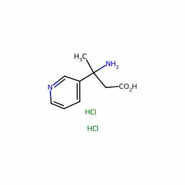 CC(N)(CC(=O)O)c1cccnc1.Cl.Cl